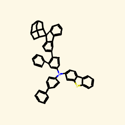 c1ccc(-c2ccc(N(c3ccc(-c4ccc5c(c4)-c4ccccc4C54C5CC6CC7CC4C75C6)c(-c4ccccc4)c3)c3ccc4c(c3)sc3ccccc34)cc2)cc1